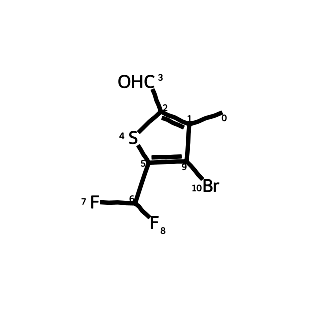 Cc1c(C=O)sc(C(F)F)c1Br